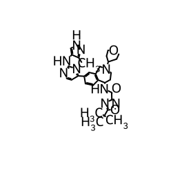 Cc1n[nH]cc1Nc1nccc(-c2ccc3c(c2)CN(C2CCOCC2)CCC3NC(=O)c2noc(C(C)(C)C)n2)n1